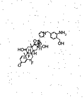 C[C@]12C=CC(=O)C=C1[C@@H](F)C[C@H]1[C@@H]3C[C@H]4O[C@@H](c5ccn(Cc6ccc(CO)c(N)c6)c5)O[C@@]4(C(=O)CO)[C@@]3(C)C[C@H](O)[C@@]12F